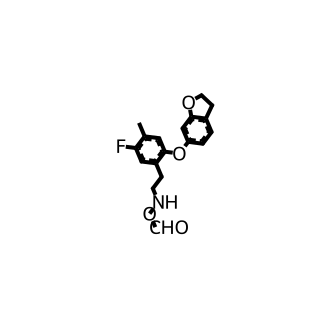 Cc1cc(Oc2ccc3c(c2)OCC3)c(CCNOC=O)cc1F